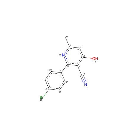 Cc1cc(O)c(C#N)c(-c2ccc(Br)cc2)n1